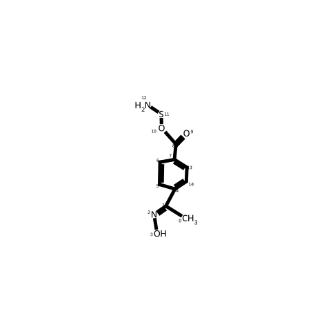 C/C(=N\O)c1ccc(C(=O)OSN)cc1